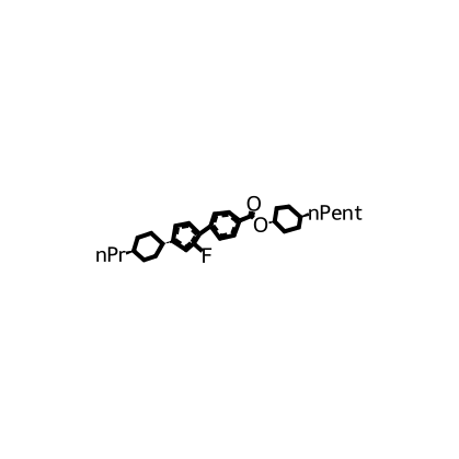 CCCCC[C@H]1CC[C@H](OC(=O)c2ccc(-c3ccc([C@H]4CC[C@H](CCC)CC4)cc3F)cc2)CC1